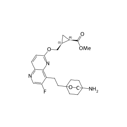 COC(=O)[C@@H]1C[C@@H]1COc1ccc2ncc(F)c(CCC34CCC(N)(CC3)CO4)c2n1